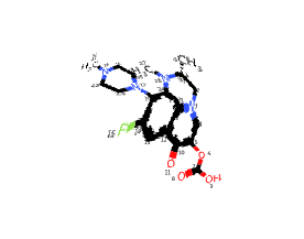 C[C@@H]1Cn2cc(OC(=O)O)c(=O)c3cc(F)c(N4CCN(C)CC4)c(c32)N1C